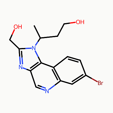 CC(CCO)n1c(CO)nc2cnc3cc(Br)ccc3c21